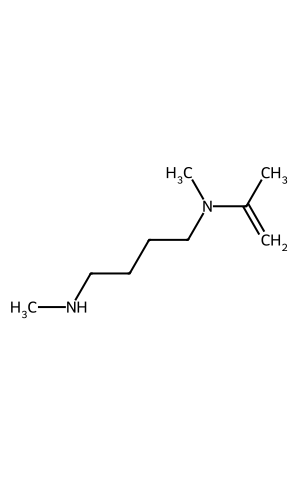 C=C(C)N(C)CCCCNC